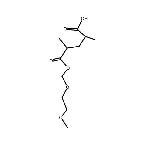 COCCOCOC(=O)C(C)CC(C)C(=O)O